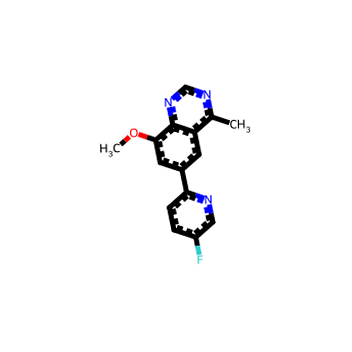 COc1cc(-c2ccc(F)cn2)cc2c(C)ncnc12